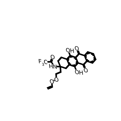 C=COOCCC1(NC(=O)C(F)(F)F)CCc2c(O)c3c(c(O)c2C1)C(=O)c1ccccc1C3=O